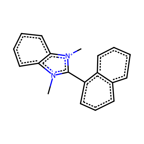 Cn1c(-c2cccc3ccccc23)[n+](C)c2ccccc21